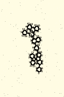 c1ccc(-c2ccc3c(c2)C(c2ccccc2)(c2ccccc2)c2cc(-c4ccc(-c5ccc(-c6cc(-c7ccccc7-c7ccccc7)nc(-c7ccccc7)n6)c6ccccc56)cc4)ccc2-3)cc1